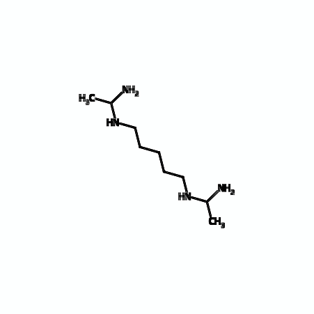 CC(N)NCCCCCNC(C)N